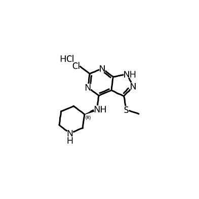 CSc1n[nH]c2nc(Cl)nc(N[C@@H]3CCCNC3)c12.Cl